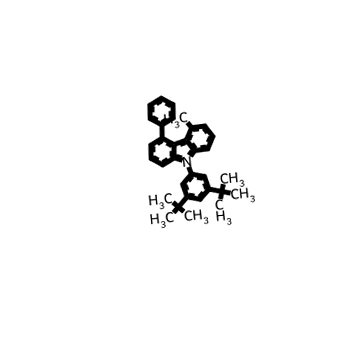 Cc1cccc2c1c1c(-c3ccccc3)cccc1n2-c1cc(C(C)(C)C)cc(C(C)(C)C)c1